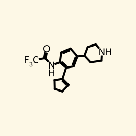 O=C(Nc1ccc(C2CCNCC2)cc1C1=CCCC1)C(F)(F)F